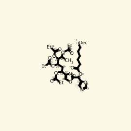 CCCCCCCCCCCCCCCC(=O)OC(c1cnco1)c1nc(C(CC(OC(=O)CC)C(OC(=O)CC)C(C)OC(=O)CC)OC(=O)CC)co1